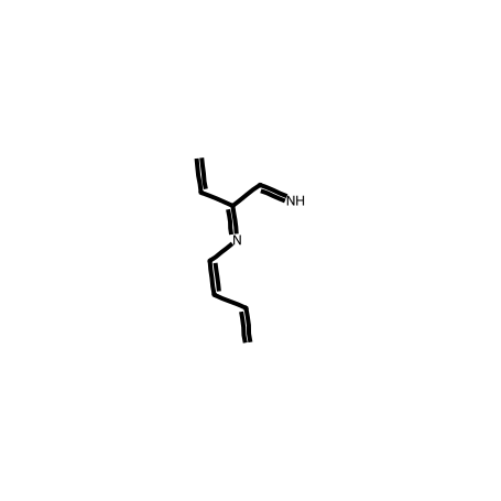 C=C/C=C\N=C(/C=C)C=N